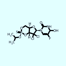 CC(C)O[P@@]1(=S)OC[C@H]2O[C@@H](N3C=C(F)C(O)NC3=O)C(Cl)(Cl)[C@@H]2O1